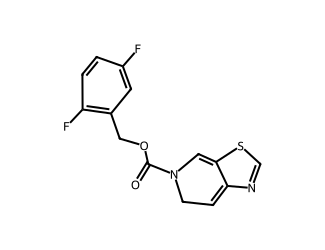 O=C(OCc1cc(F)ccc1F)N1C=c2scnc2=CC1